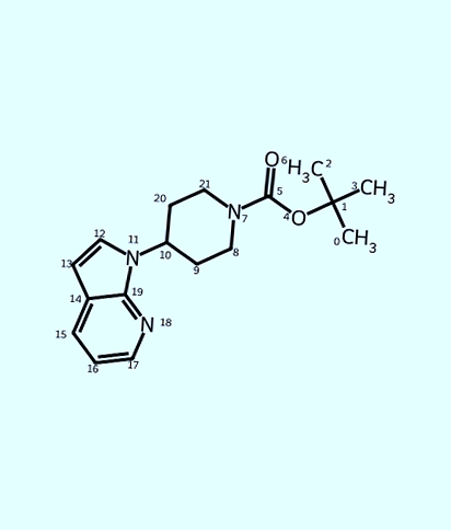 CC(C)(C)OC(=O)N1CCC(n2ccc3cccnc32)CC1